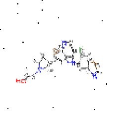 C[C@H]1[C@@H](c2cc3c(Nc4cc5ncsc5cc4F)ccnc3s2)CCN1CCO